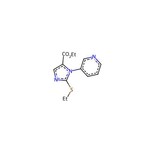 CCOC(=O)c1cnc(SCC)n1-c1cccnc1